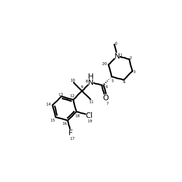 CN1CCC[C@H](C(=O)NC(C)(C)c2cccc(F)c2Cl)C1